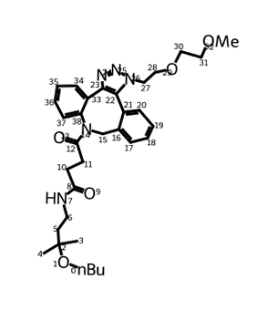 CCCCOC(C)(C)CCNC(=O)CCC(=O)N1Cc2ccccc2-c2c(nnn2CCOCCOC)-c2ccccc21